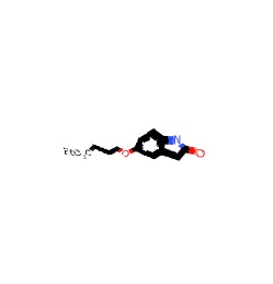 CCOC(=O)CCCOc1ccc2c(c1)=CC(=O)N=2